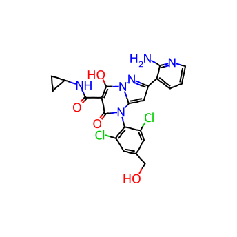 Nc1ncccc1-c1cc2n(-c3c(Cl)cc(CO)cc3Cl)c(=O)c(C(=O)NC3CC3)c(O)n2n1